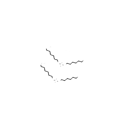 CCCCCCCCCCCCCCCCOP(=S)([S-])OCCCCCCCCCCCCCCCC.CCCCCCCCCCCCCCCCOP(=S)([S-])OCCCCCCCCCCCCCCCC.[Zn+2]